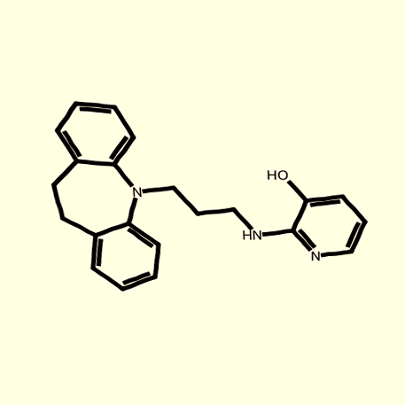 Oc1cccnc1NCCCN1c2ccccc2CCc2ccccc21